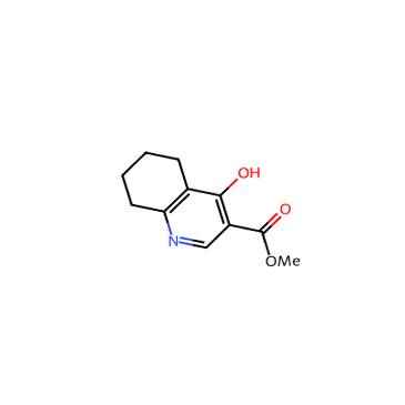 COC(=O)c1cnc2c(c1O)CCCC2